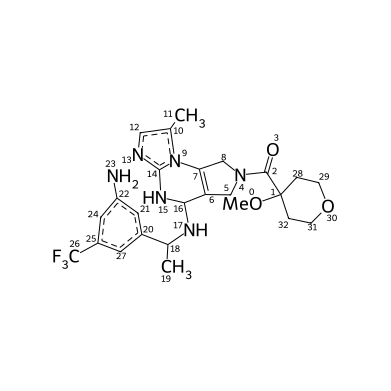 COC1(C(=O)N2CC3=C(C2)n2c(C)cnc2NC3NC(C)c2cc(N)cc(C(F)(F)F)c2)CCOCC1